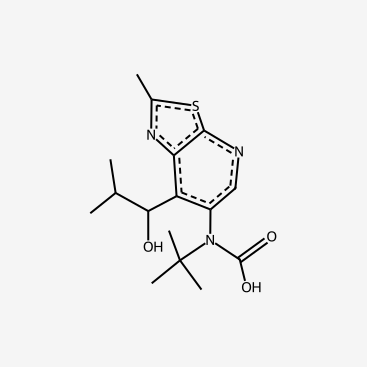 Cc1nc2c(C(O)C(C)C)c(N(C(=O)O)C(C)(C)C)cnc2s1